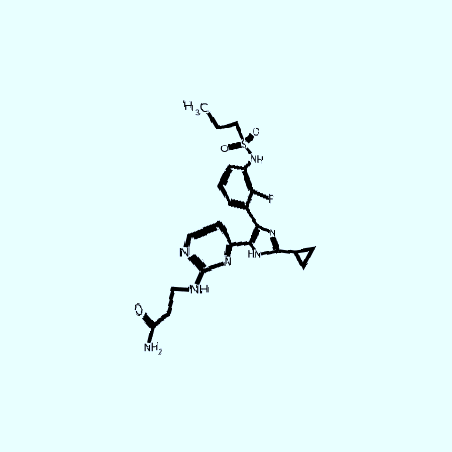 CCCS(=O)(=O)Nc1cccc(-c2nc(C3CC3)[nH]c2-c2ccnc(NCCC(N)=O)n2)c1F